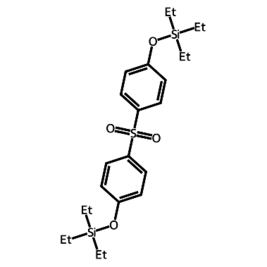 CC[Si](CC)(CC)Oc1ccc(S(=O)(=O)c2ccc(O[Si](CC)(CC)CC)cc2)cc1